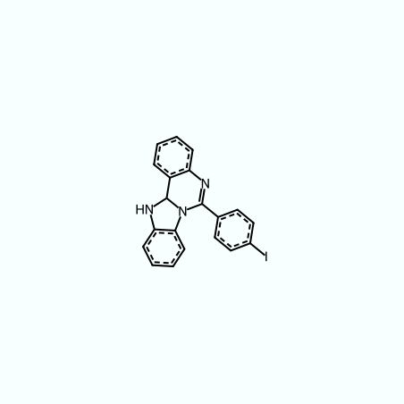 Ic1ccc(C2=Nc3ccccc3C3Nc4ccccc4N23)cc1